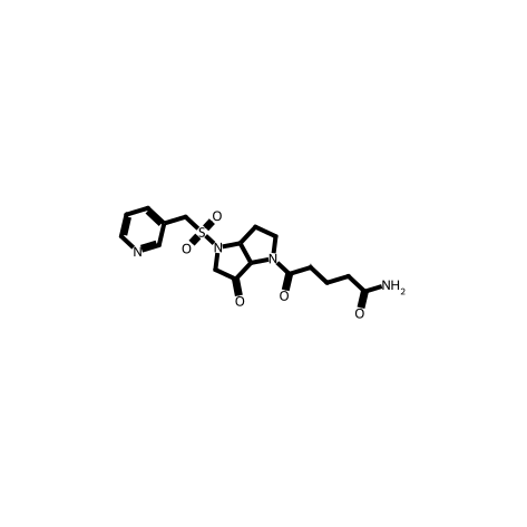 NC(=O)CC[CH]C(=O)N1CCC2C1C(=O)CN2S(=O)(=O)Cc1cccnc1